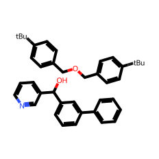 CC(C)(C)c1ccc(COCc2ccc(C(C)(C)C)cc2)cc1.OC(c1cccnc1)c1cccc(-c2ccccc2)c1